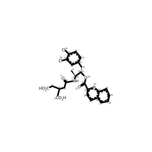 C[C@H](NC(=O)CC(CC(=O)O)C(=O)O)[C@H](Cc1ccc(Cl)c(Cl)c1)OC(=O)c1ccc2ccccc2n1